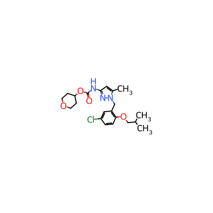 Cc1cc(NC(=O)OC2CCOCC2)nn1Cc1cc(Cl)ccc1OCC(C)C